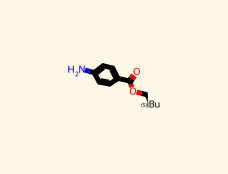 CC[C@H](C)COC(=O)c1ccc(N)cc1